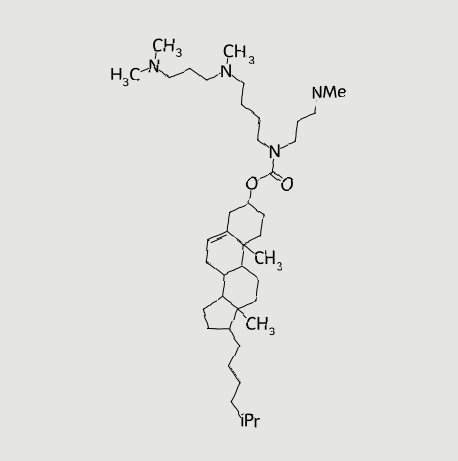 CNCCCN(CCCCN(C)CCCN(C)C)C(=O)OC1CCC2(C)C(=CCC3C2CCC2(C)C(CCCCC(C)C)CCC32)C1